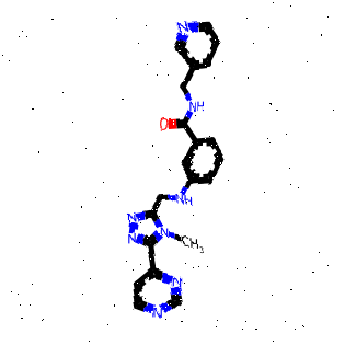 Cn1c(CNc2cccc(C(=O)NCc3cccnc3)c2)nnc1-c1ccncn1